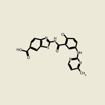 Cc1ccnc(Nc2ccc(Cl)c(C(=O)Nc3nc4ccc(C(=O)O)cc4s3)c2)n1